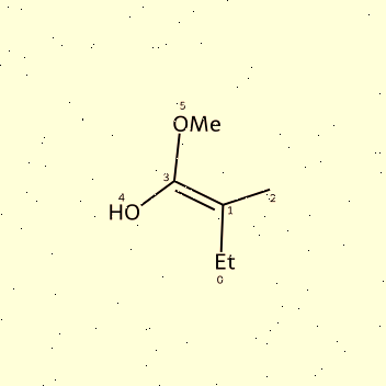 CCC(C)=C(O)OC